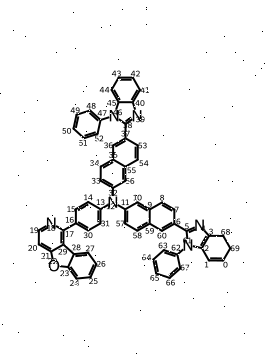 C1=Cc2c(nc(-c3ccc4cc(N(c5ccc(-c6nccc7oc8ccccc8c67)cc5)c5ccc6cc(-c7nc8ccccc8n7-c7ccccc7)ccc6c5)ccc4c3)n2-c2ccccc2)CC1